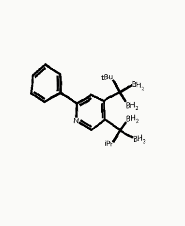 BC(B)(c1cnc(-c2ccccc2)cc1C(B)(B)C(C)(C)C)C(C)C